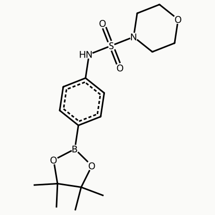 CC1(C)OB(c2ccc(NS(=O)(=O)N3CCOCC3)cc2)OC1(C)C